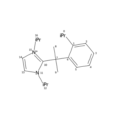 CC(C)c1ccccc1C(C)(C)c1n(C(C)C)cc[n+]1C(C)C